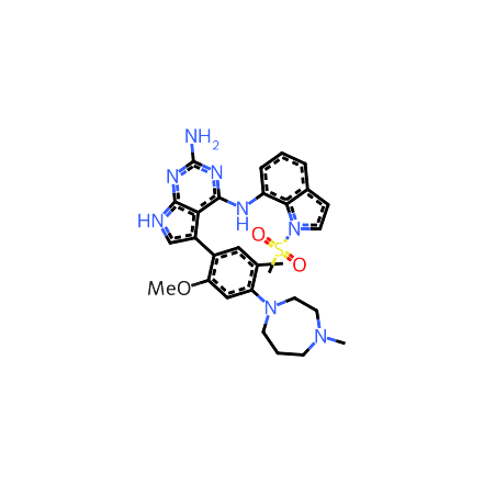 COc1cc(N2CCCN(C)CC2)c(C)cc1-c1c[nH]c2nc(N)nc(Nc3cccc4ccn(S(C)(=O)=O)c34)c12